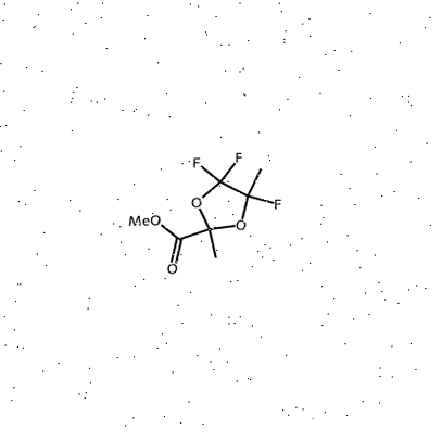 COC(=O)C1(C)OC(C)(F)C(F)(F)O1